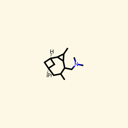 CC1C[C@]2(C(C)C)C[C@@H](C2)C2C(C)C2C1CN(C)C